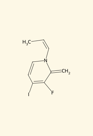 C=C1C(F)=C(I)C=CN1/C=C\C